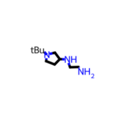 CC(C)(C)N1CCC(NCCN)C1